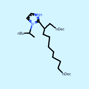 CCCCCCCCCCCCCCCCCC(CCCCCCCCCCC)c1[nH]cc[n+]1C(C)CCCC